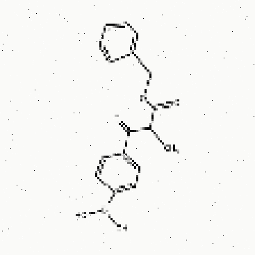 CC(C(=O)OCc1ccccc1)C(=O)c1ccc(B(O)O)cc1